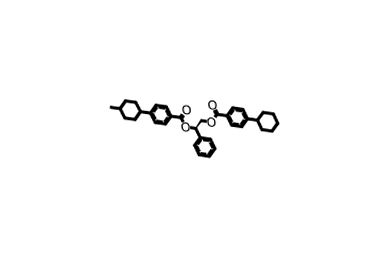 CC1CCC(c2ccc(C(=O)O[C@@H](COC(=O)c3ccc(C4CCCCC4)cc3)c3ccccc3)cc2)CC1